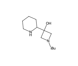 CCC(C)N1CC(O)(C2CCCCN2)C1